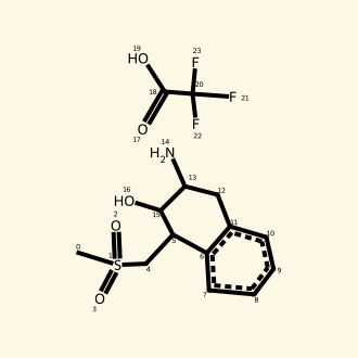 CS(=O)(=O)CC1c2ccccc2CC(N)C1O.O=C(O)C(F)(F)F